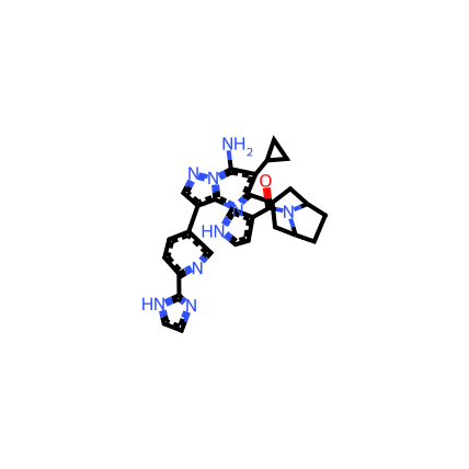 Nc1c(C2CC2)c(C2CC3CCC(C2)N3C(=O)c2cc[nH]c2)nc2c(-c3ccc(-c4ncc[nH]4)nc3)cnn12